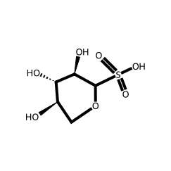 O=S(=O)(O)C1OC[C@@H](O)[C@H](O)[C@H]1O